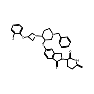 C=C1CCC(N2Cc3cc(OC4CN(Cc5ccccc5)CCC4N4CC(Oc5ccccc5Cl)C4)ccc3C2=O)C(=O)N1